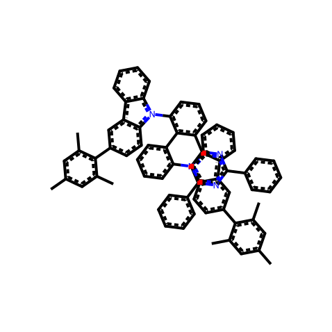 Cc1cc(C)c(-c2ccc3c(c2)c2ccccc2n3-c2ccccc2-c2c(-c3cc(-c4ccccc4)nc(-c4ccccc4)n3)cccc2-n2c3ccccc3c3cc(-c4c(C)cc(C)cc4C)ccc32)c(C)c1